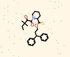 CCC(C)(C)C(=O)C(=O)N1CCCCC1C(=S)OCCC(c1ccccc1)c1ccccc1